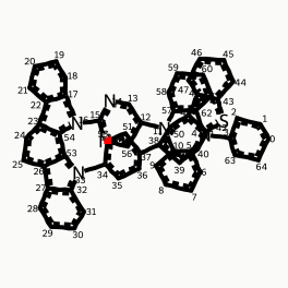 c1ccc(N2c3ccccc3N(c3cnc(-n4c5ccccc5c5ccc6c7ccccc7n(-c7ccc(-c8ccc9sc%10ccccc%10c9c8)cc7)c6c54)nc3)c3ccccc32)cc1